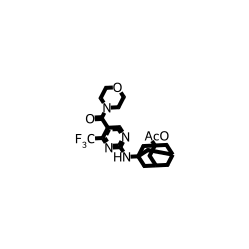 CC(=O)OC12CC3CC(CC(Nc4ncc(C(=O)N5CCOCC5)c(C(F)(F)F)n4)(C3)C1)C2